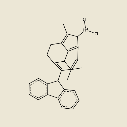 CC1=C2CCC3=C(C4c5ccccc5-c5ccccc54)C=CC(=C2C3C(C)C)[CH]1[Hf]([Cl])[Cl]